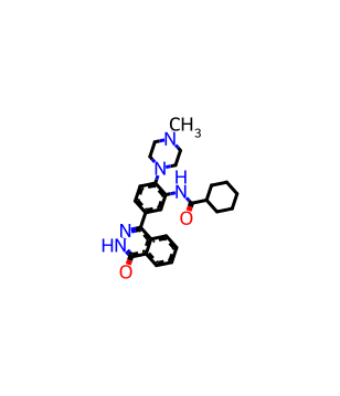 CN1CCN(c2ccc(-c3n[nH]c(=O)c4ccccc34)cc2NC(=O)C2CCCCC2)CC1